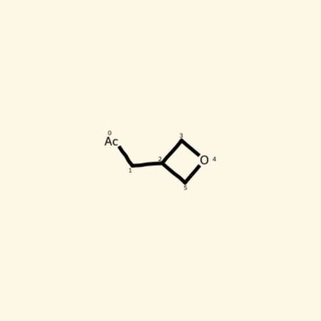 CC(=O)CC1COC1